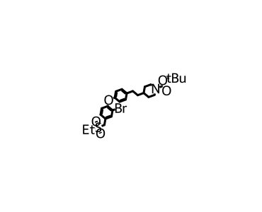 CCS(=O)(=O)Cc1ccc(Oc2ccc(CCC3CCN(C(=O)OC(C)(C)C)CC3)cc2)c(Br)c1